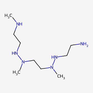 CNCCNN(C)CCN(C)NCCN